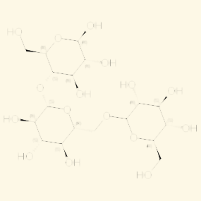 OC[C@H]1OC(OC[C@H]2O[C@@H](O[C@H]3[C@H](O)[C@@H](O)[C@H](O)O[C@@H]3CO)[C@H](O)[C@@H](O)[C@@H]2O)[C@H](O)[C@@H](O)[C@@H]1O